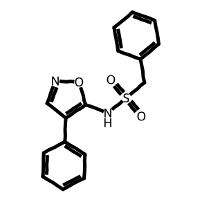 O=S(=O)(Cc1ccccc1)Nc1oncc1-c1ccccc1